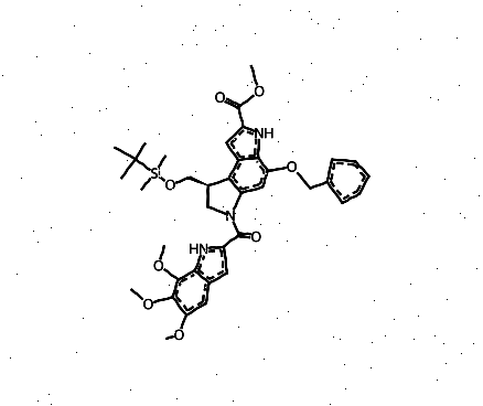 COC(=O)c1cc2c3c(cc(OCc4ccccc4)c2[nH]1)N(C(=O)c1cc2cc(OC)c(OC)c(OC)c2[nH]1)C[C@H]3CO[Si](C)(C)C(C)(C)C